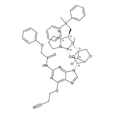 CC[C@@]12COC([C@H](n3cnc4c(OCCC#N)nc(NC(=O)COc5ccccc5)nc43)O1)[C@H]2O[P@@]1O[C@H](C[Si](C)(c2ccccc2)c2ccccc2)[C@@H]2CCCN21